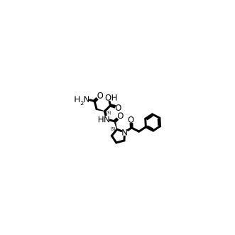 NC(=O)C[C@H](NC(=O)[C@@H]1CCCN1C(=O)Cc1ccccc1)C(=O)O